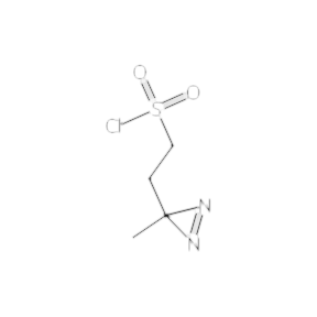 CC1(CCS(=O)(=O)Cl)N=N1